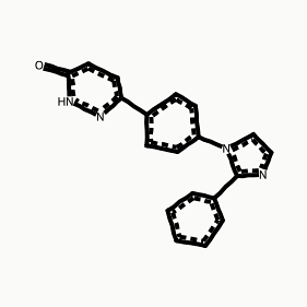 O=c1ccc(-c2ccc(-n3ccnc3-c3ccccc3)cc2)n[nH]1